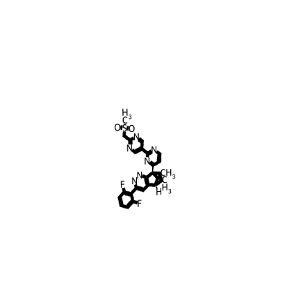 CC1(C)[C@H]2CC[C@@]1(c1ccnc(-c3cnc(CS(C)(=O)=O)nc3)n1)c1nnc(-c3c(F)cccc3F)cc12